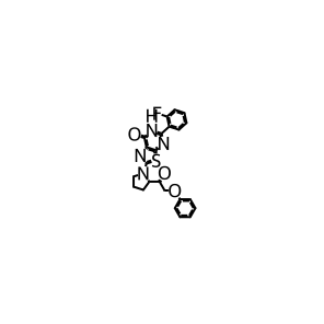 O=C(COc1ccccc1)C1CCCN1c1nc2c(=O)[nH]c(-c3ccccc3F)nc2s1